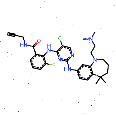 C#CCNC(=O)c1cccc(F)c1Nc1nc(Nc2ccc3c(c2)N(CCN(C)C)CCCC3(C)C)ncc1Cl